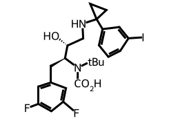 CC(C)(C)N(C(=O)O)[C@@H](Cc1cc(F)cc(F)c1)[C@H](O)CNC1(c2cccc(I)c2)CC1